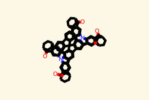 O=C1c2cc3c(cc2C2CCC1CC2)c1cc2c(c4c5cc6c(cc5n3c14)C(=O)C1CCC6CC1)C1(c3ccccc3-c3ccccc31)c1c-2cc2c3cc4c(cc3n3c5cc6c(cc5c1c23)C1CCC(CC1)C6=O)C(=O)C1CCC4CC1